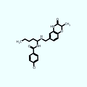 CCCCC(NCc1ccc2c(c1)NC(=O)C(C)O2)NC(=O)c1ccc(Cl)cc1